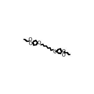 CC=CC(=O)Oc1ccc(OCCCCCCCCOc2ccc(OC(=O)C=CC)cc2)cc1